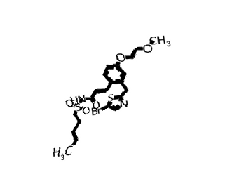 CCCCCS(=O)(=O)NC(=O)C=Cc1ccc(OCCOC)cc1Cc1ncc(Br)s1